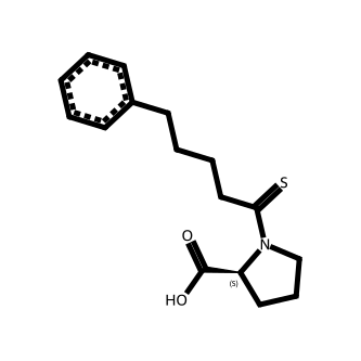 O=C(O)[C@@H]1CCCN1C(=S)CCCCc1ccccc1